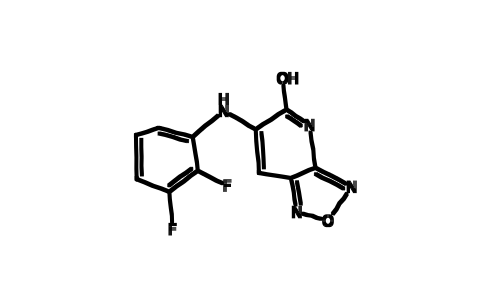 Oc1nc2nonc2cc1Nc1cccc(F)c1F